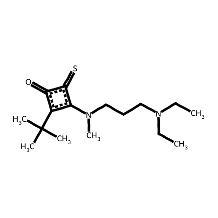 CCN(CC)CCCN(C)c1c(C(C)(C)C)c(=O)c1=S